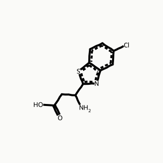 NC(CC(=O)O)c1nc2cc(Cl)ccc2s1